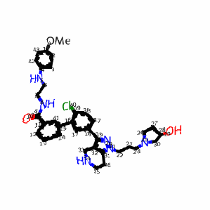 COc1ccc(NCCNC(=O)c2cccc(-c3cc(-c4nn(CCCN5CCC(O)C5)c5c4CNCC5)ccc3Cl)c2)cc1